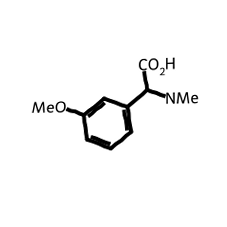 CNC(C(=O)O)c1cccc(OC)c1